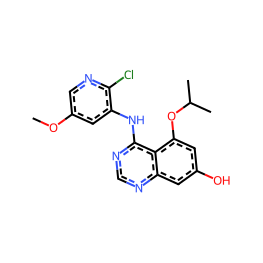 COc1cnc(Cl)c(Nc2ncnc3cc(O)cc(OC(C)C)c23)c1